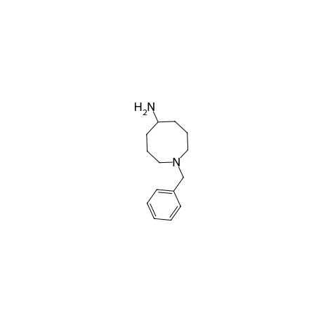 NC1CCCN(Cc2ccccc2)CCC1